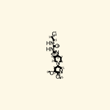 COc1cc(N2CCc3nc(NC(=O)NCCCl)sc3C2)cnc1OC